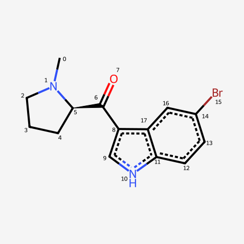 CN1CCC[C@@H]1C(=O)c1c[nH]c2ccc(Br)cc12